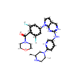 C[C@@H]1CN[C@@H](C)CN1c1ccc(Nc2ncc3ccn(-c4cc(F)c(C(=O)N5CCOCC5)c(F)c4)c3n2)cn1